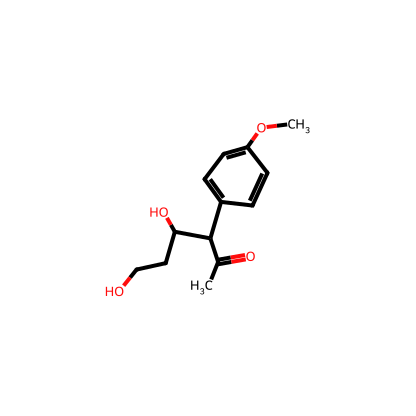 COc1ccc(C(C(C)=O)C(O)CCO)cc1